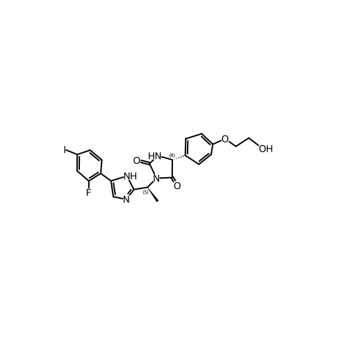 C[C@@H](c1ncc(-c2ccc(I)cc2F)[nH]1)N1C(=O)N[C@H](c2ccc(OCCO)cc2)C1=O